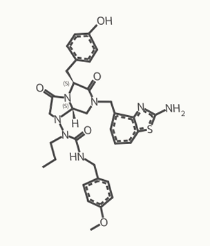 CCCN(C(=O)NCc1ccc(OC)cc1)N1CC(=O)N2[C@@H](Cc3ccc(O)cc3)C(=O)N(Cc3cccc4sc(N)nc34)C[C@@H]21